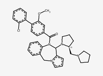 COc1cc(C(=O)N2c3ccccc3Cn3[c]ccc3C2N2CCC[C@H]2CN2CCCC2)ccc1-c1ccccc1Cl